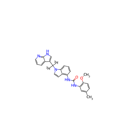 [2H]C([2H])(c1c[nH]c2ncccc12)n1ccc2c(NC(=O)Nc3cc(C)ccc3OC)cccc21